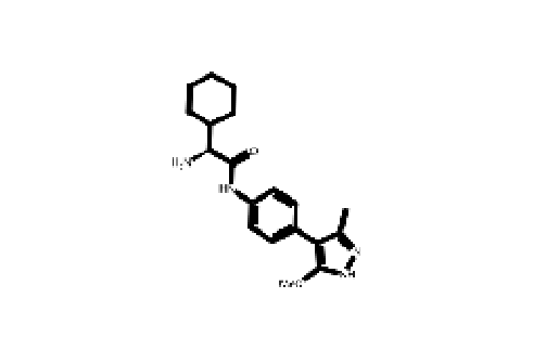 COc1[nH]nc(C)c1-c1ccc(NC(=O)[C@@H](N)C2CCCCC2)cc1